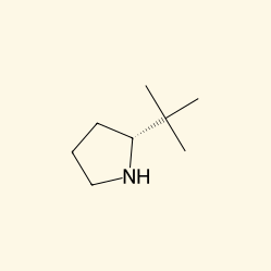 CC(C)(C)[C@H]1CCCN1